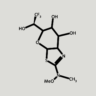 CON(C)C1=NC2C(OC([C@@H](O)C(F)(F)F)C(O)C2O)S1